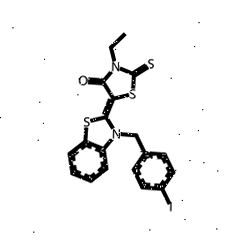 CCN1C(=O)/C(=C2\Sc3ccccc3N2Cc2ccc(I)cc2)SC1=S